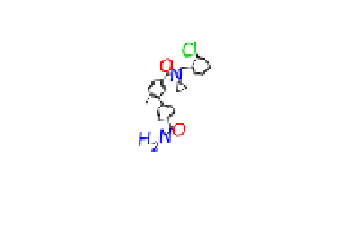 Cc1ccc(C(=O)N(Cc2ccccc2Cl)C2CC2)cc1-c1ccc(C(N)=O)cc1